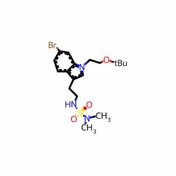 CN(C)S(=O)(=O)NCCc1cn(CCOC(C)(C)C)c2cc(Br)ccc12